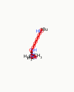 Cc1noc(C)c1-c1cnc2c(-c3ccc(C(=O)NCCOCCOCCOCCOCCOCCOCCOCCOCCNC(=O)OC(C)(C)C)cc3)cn([C@@H](C)c3ccccn3)c2c1